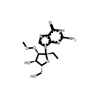 CC[C@@]1(n2cnc3c(=O)[nH]c(N)nc32)O[C@H](CO)[C@@H](O)[C@H]1OOC